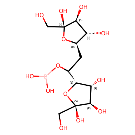 OC[C@@]1(O)O[C@H](CC(OB(O)O)[C@H]2O[C@@](O)(CO)[C@H](O)[C@H]2O)[C@@H](O)[C@@H]1O